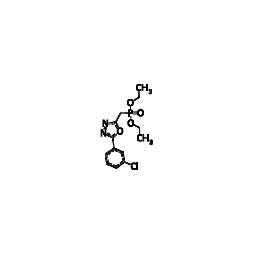 CCOP(=O)(Cc1nnc(-c2cccc(Cl)c2)o1)OCC